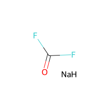 O=C(F)F.[NaH]